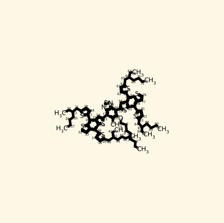 CCCCCCCCOc1c(C)c(-c2cc3c(-c4ccc(CC(CC)CCCC)s4)c4sccc4c(-c4ccc(CC(CC)CCCC)s4)c3s2)c2nsnc2c1-c1cc2c(-c3ccc(CC(CC)CCCC)s3)c3sccc3c(-c3ccc(CC(CC)CCCC)s3)c2s1